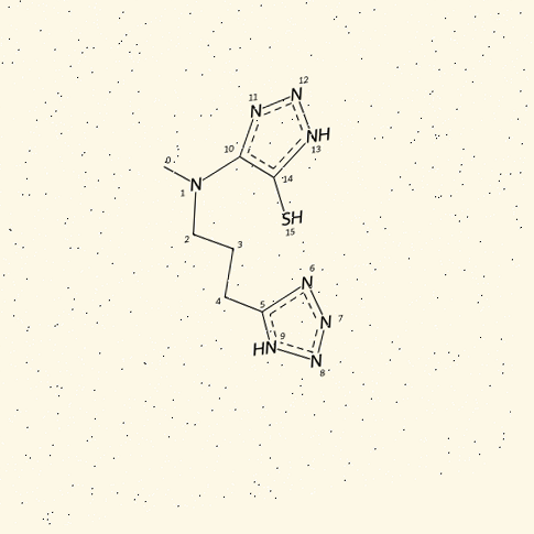 CN(CCCc1nnn[nH]1)c1nn[nH]c1S